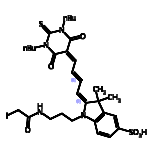 CCCCN1C(=O)C(=C/C=C/C=C2/N(CCCNC(=O)CI)c3ccc(S(=O)(=O)O)cc3C2(C)C)C(=O)N(CCCC)C1=S